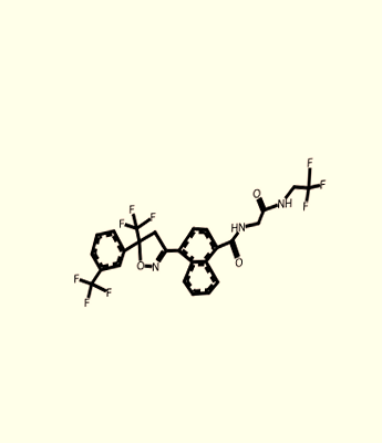 O=C(CNC(=O)c1ccc(C2=NOC(c3cccc(C(F)(F)F)c3)(C(F)(F)F)C2)c2ccccc12)NCC(F)(F)F